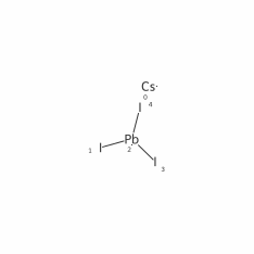 [Cs].[I][Pb]([I])[I]